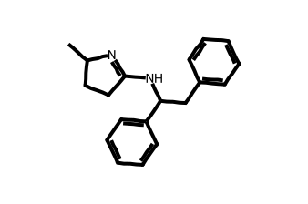 CC1CCC(NC(Cc2ccccc2)c2ccccc2)=N1